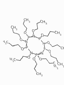 CCCON1P(OCCC)N=P(OCCC)(OCCC)N(OCCC)P(OCCC)N(OCCC)P(OCCC)N(OCCC)P1OCCC